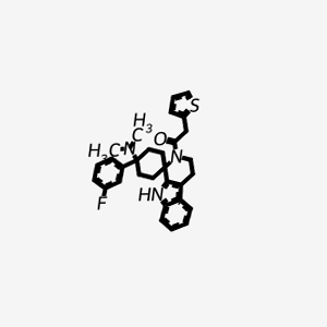 CN(C)C1(c2cccc(F)c2)CCC2(CC1)c1[nH]c3ccccc3c1CCN2C(=O)Cc1cccs1